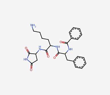 NCCCCC(NC(=O)C(Cc1ccccc1)NC(=O)c1ccccc1)C(=O)NC1CC(=O)NC1=O